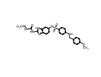 CCNC(=O)Nc1nc2ccc(OS(=O)(=O)c3ccc(NCc4ccc(OC)cc4)cc3)cc2[nH]1